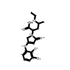 CCOC(C)CC(C(=O)O)N1CC(Oc2cccc(Cl)c2Cl)=CC1=O